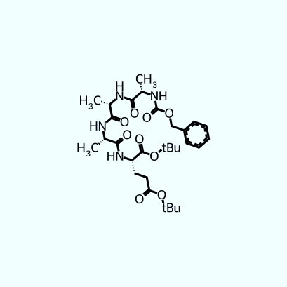 C[C@H](NC(=O)OCc1ccccc1)C(=O)N[C@@H](C)C(=O)N[C@@H](C)C(=O)N[C@@H](CCC(=O)OC(C)(C)C)C(=O)OC(C)(C)C